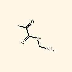 CC(=O)C(=O)NCN